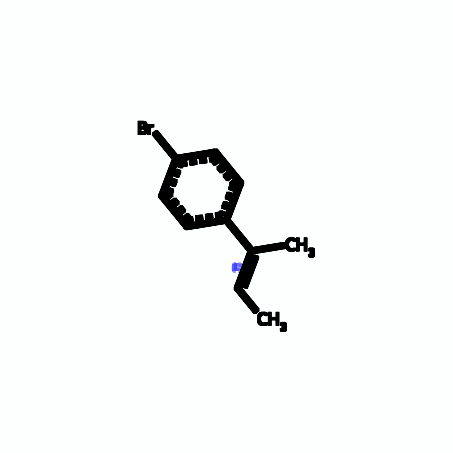 C/C=C(\C)c1ccc(Br)cc1